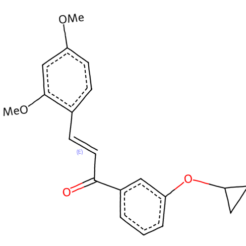 COc1ccc(/C=C/C(=O)c2cccc(OC3CC3)c2)c(OC)c1